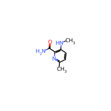 CNc1ccc(C)nc1C(N)=O